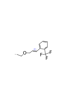 [CH2]COC/C=C/c1ccccc1C(F)(F)F